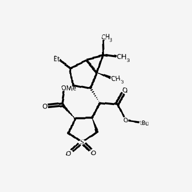 CCC1CC([C@H](C(=O)OC(C)(C)C)[C@H]2CS(=O)(=O)C[C@H]2C(=O)OC)[C@]2(C)C1C2(C)C